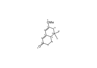 COC1=CC2=CC(=O)CCC2C(C)(C)C1